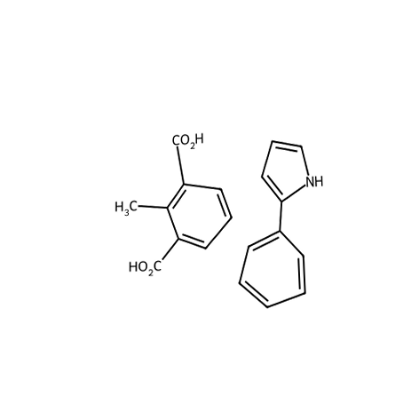 Cc1c(C(=O)O)cccc1C(=O)O.c1ccc(-c2ccc[nH]2)cc1